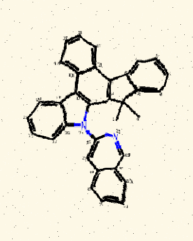 CC1(C)c2ccccc2-c2c1c1c(c3ccccc23)c2ccccc2n1-c1cc2ccccc2cn1